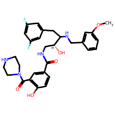 COc1cccc(CNC(Cc2cc(F)cc(F)c2)[C@H](O)CNC(=O)c2ccc(O)c(C(=O)N3CCNCC3)c2)c1